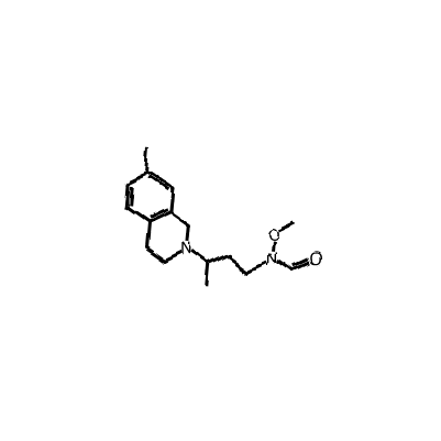 CON(C=O)CCC(C)N1CCc2ccc(C)cc2C1